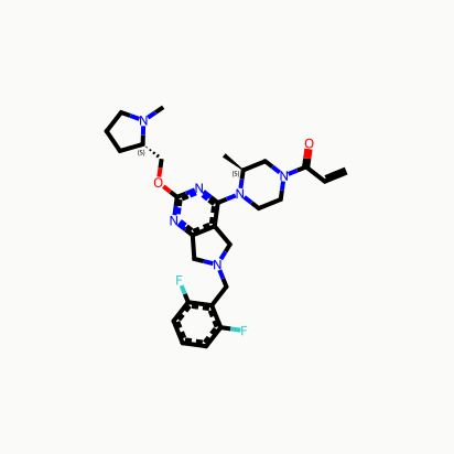 C=CC(=O)N1CCN(c2nc(OC[C@@H]3CCCN3C)nc3c2CN(Cc2c(F)cccc2F)C3)[C@@H](C)C1